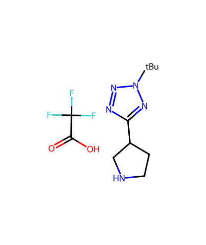 CC(C)(C)n1nnc(C2CCNC2)n1.O=C(O)C(F)(F)F